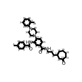 Cc1ccc(C(=O)Nc2cc(C(=O)NCCCC3CCCCC(=O)C3)ccc2N2CCN(c3ccccc3C)CC2)cc1